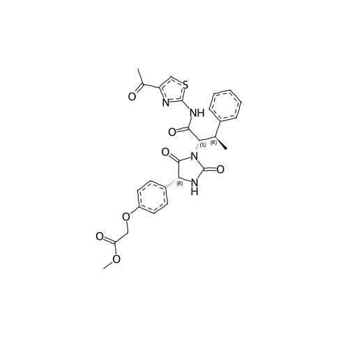 COC(=O)COc1ccc([C@H]2NC(=O)N([C@H](C(=O)Nc3nc(C(C)=O)cs3)[C@H](C)c3ccccc3)C2=O)cc1